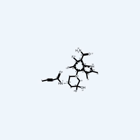 CC#CC(=O)N[C@@H]1CN(c2c(F)c(F)c(C(N)=O)c3[nH]c(C)c(C)c23)CC(O)(F)C1